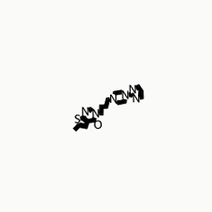 Cc1cc2c(=O)n(CCCCN3CCN(c4ncccn4)CC3)cnc2s1